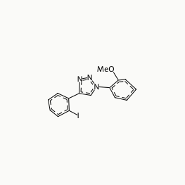 COc1ccccc1-n1cc(-c2ccccc2I)nn1